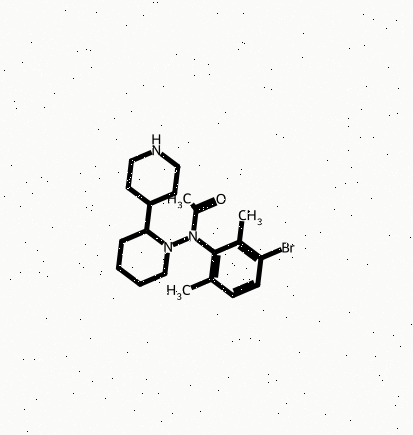 CC(=O)N(c1c(C)ccc(Br)c1C)N1CCCCC1C1CCNCC1